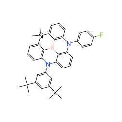 CC(C)(C)c1cc(N2c3cccc4c3B3c5c(cccc5[Si](C)(C)c5cccc2c53)N4c2ccc(F)cc2)cc(C(C)(C)C)c1